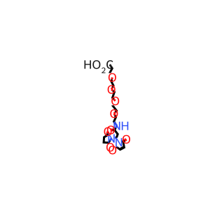 O=C(O)CCOCCOCCOCCOCCNC(=O)CC(N1C(=O)C=CC1=O)N1C(=O)CCC1=O